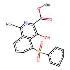 CCCCOC(=O)c1nc(C#N)c2cccc(S(=O)(=O)c3ccccc3)c2c1O